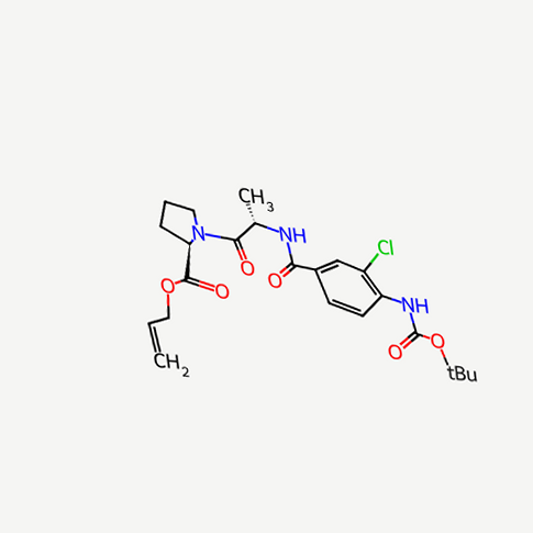 C=CCOC(=O)[C@H]1CCCN1C(=O)[C@H](C)NC(=O)c1ccc(NC(=O)OC(C)(C)C)c(Cl)c1